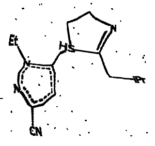 CCn1nc(C#N)cc1[SH]1CCN=C1CC(C)C